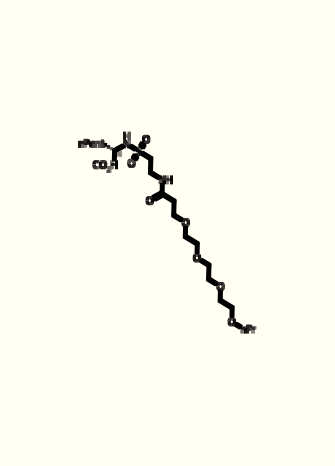 CCCCC[C@H](NS(=O)(=O)CCNC(=O)CCOCCOCCOCCOCCC)C(=O)O